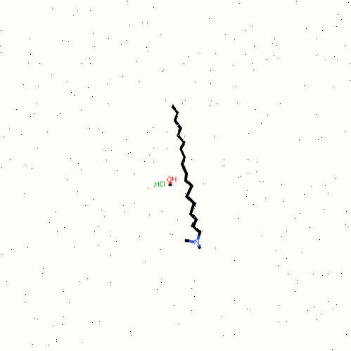 CCCCCCCCCCCCCCCCCCN(C)C.CO.Cl